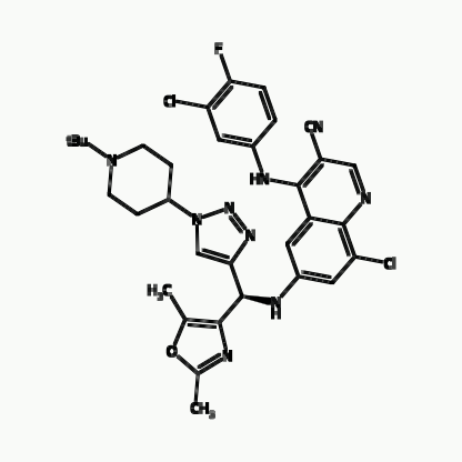 Cc1nc([C@H](Nc2cc(Cl)c3ncc(C#N)c(Nc4ccc(F)c(Cl)c4)c3c2)c2cn(C3CCN(C(C)(C)C)CC3)nn2)c(C)o1